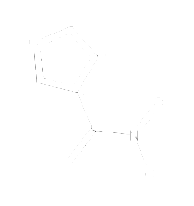 C=C(c1ccoc1)[N+](=O)[O-]